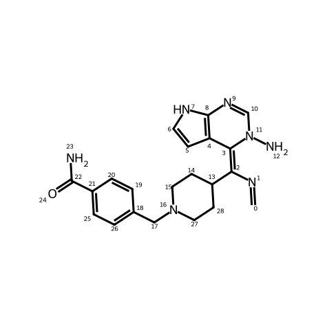 C=N/C(=C1/c2cc[nH]c2N=CN1N)C1CCN(Cc2ccc(C(N)=O)cc2)CC1